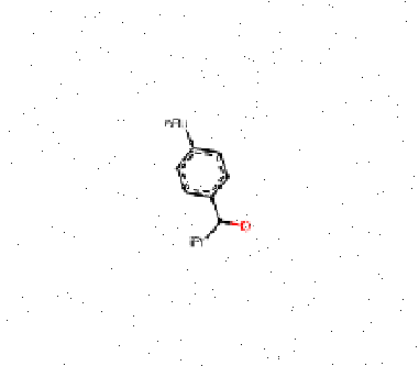 CCCCc1ccc(C([O])C(C)C)cc1